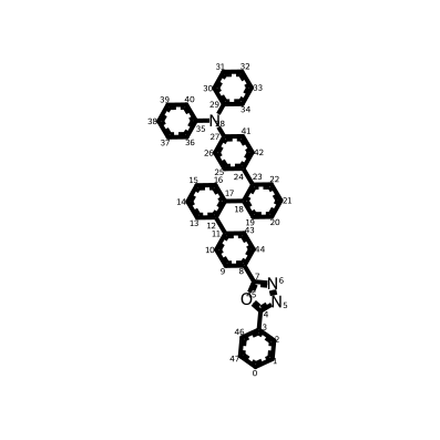 c1ccc(-c2nnc(-c3ccc(-c4ccccc4-c4ccccc4-c4ccc(N(c5ccccc5)c5ccccc5)cc4)cc3)o2)cc1